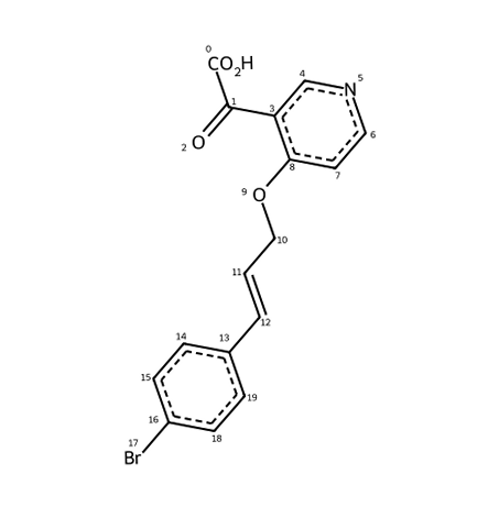 O=C(O)C(=O)c1cnccc1OCC=Cc1ccc(Br)cc1